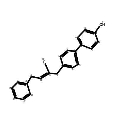 Oc1ccc(-c2ccc(C/C(F)=C/Cc3ccccc3)cc2)cc1